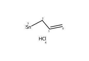 C=C[CH2][Sn].Cl